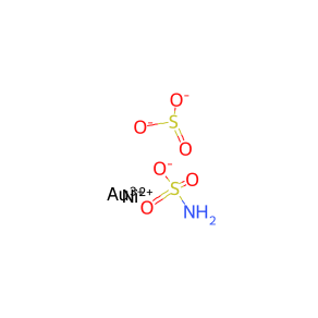 NS(=O)(=O)[O-].O=S([O-])[O-].[Au+3].[Ni+2]